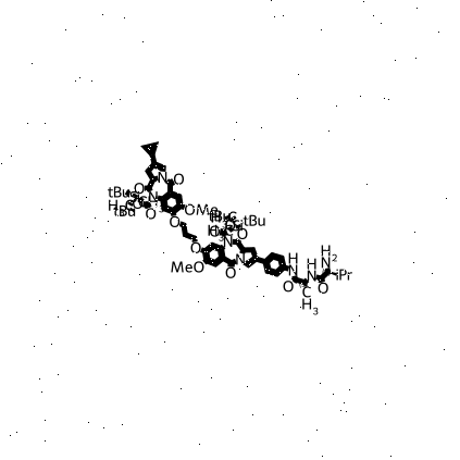 COc1cc2c(cc1OCCCOc1cc3c(cc1OC)C(=O)N1C=C(C4CC4)CC1C(O[Si](C)(C)C(C)(C)C)N3C(=O)OC(C)(C)C)N(C(=O)OC(C)(C)C)C(O[Si](C)(C)C(C)(C)C)C1CC(c3ccc(NC(=O)[C@H](C)NC(=O)[C@@H](N)C(C)C)cc3)=CN1C2=O